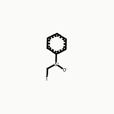 [O-][S+](CI)c1ccccc1